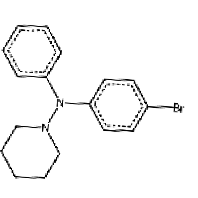 Brc1ccc(N(c2ccccc2)N2CCCCC2)cc1